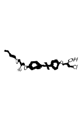 CCCCOC[C@H](O)COc1ccc(C(C)(C)c2ccc(OC[C@H](O)CCl)cc2)cc1